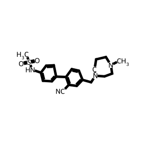 CN1CCCN(Cc2ccc(-c3ccc(NS(C)(=O)=O)cc3)c(C#N)c2)CC1